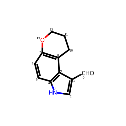 O=Cc1c[nH]c2ccc3c(c12)CCCO3